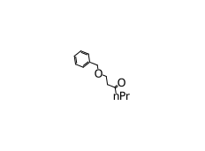 CCCC(=O)CCOCc1ccccc1